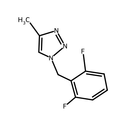 Cc1cn(Cc2c(F)cccc2F)nn1